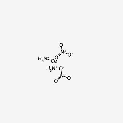 O=[N+]([O-])[O-].O=[N+]([O-])[O-].[NH3+][Ce][NH3+]